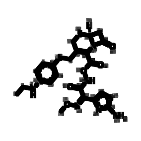 CCN[n+]1ccc(SCC2=C(C(=O)ONC(=O)/C(=N\OC)c3csc(N)n3)N3C(=O)C[C@@H]3SC2)cc1